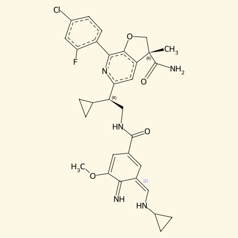 COC1=CC(C(=O)NC[C@H](c2cc3c(c(-c4ccc(Cl)cc4F)n2)OC[C@]3(C)C(N)=O)C2CC2)=C/C(=C/NC2CC2)C1=N